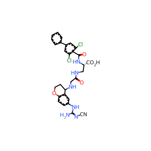 N#C/N=C(/N)Nc1ccc2c(c1)C(NCC(=O)NC[C@H](NC(=O)c1c(Cl)cc(-c3ccccc3)cc1Cl)C(=O)O)CCO2